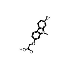 Cn1c2cc(Br)ccc2c2ccc(OCC(=O)O)cc21